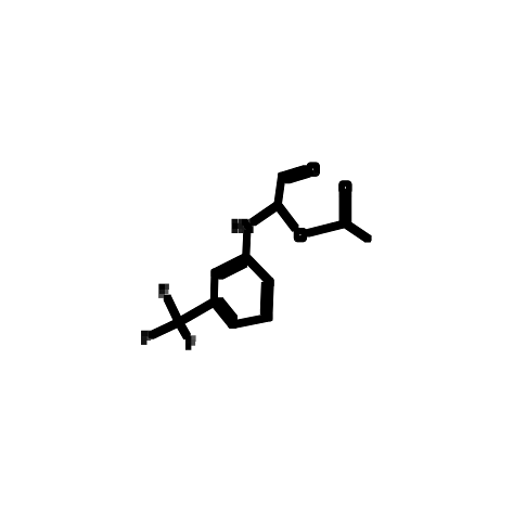 CC(=O)OC(C=O)Nc1cccc(C(F)(F)F)c1